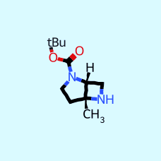 CC(C)(C)OC(=O)N1CC[C@@]2(C)NC[C@@H]12